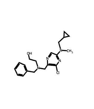 CN(CC1CC1)c1cnc(CN(CCO)Cc2ccccc2)c(Cl)n1